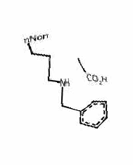 CC(=O)O.CCCCCCCCCCCCNCc1ccccc1